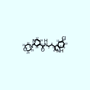 O=C(NCCc1c[nH]c2ccc(Cl)cc12)c1ccnc(N2CCOCC2)c1